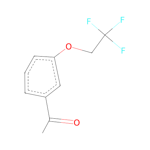 CC(=O)c1cccc(OCC(F)(F)F)c1